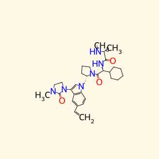 C=Cc1ccc2c(c1)c(N1CCN(C)C1=O)cn2C[C@@H]1CCCN1C(=O)[C@@H](NC(=O)[C@H](C)NC)C1CCCCC1